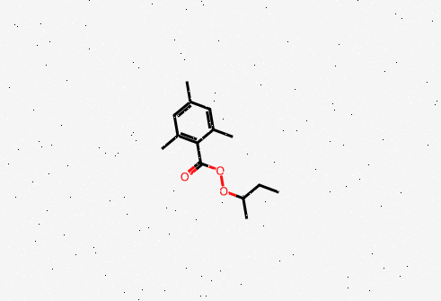 CC[C](C)OOC(=O)c1c(C)cc(C)cc1C